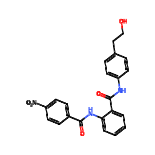 O=C(Nc1ccccc1C(=O)Nc1ccc(CCO)cc1)c1ccc([N+](=O)[O-])cc1